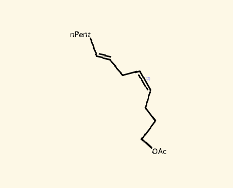 CCCCCC=CC/C=C\CCCOC(C)=O